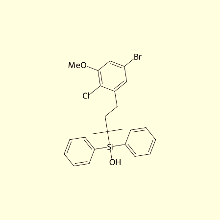 COc1cc(Br)cc(CCC(C)(C)[Si](O)(c2ccccc2)c2ccccc2)c1Cl